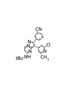 Cc1cc(-c2c(-c3cccc(C#N)c3)nn3ccc(NC(C)(C)C)nc23)cc(Cl)n1